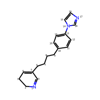 C1=NCCC=C1CCCCc1ccc(-n2ccnc2)cc1